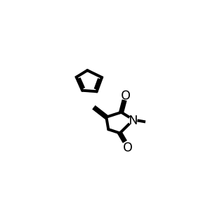 C1=CCC=C1.C=C1CC(=O)N(C)C1=O